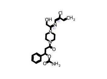 C=C/C(Cl)=C\N=C(/CO)N1CCN(C(=O)CC(OC(N)=O)c2ccccc2)CC1